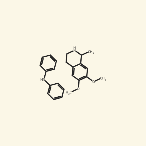 COc1cc2c(cc1OC)C(C)NCC2.c1ccc(Nc2ccccc2)cc1